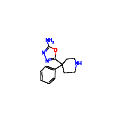 Nc1nnc(C2(c3ccccc3)CCNCC2)o1